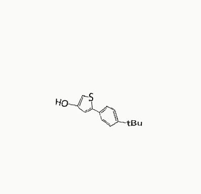 CC(C)(C)c1ccc(-c2cc(O)cs2)cc1